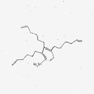 C=CCCCCc1cc[c]([SnH3])c(CCCCC=C)c1CCCCC=C